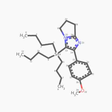 CCC[CH2][Sn]([CH2]CCC)([CH2]CCC)[c]1c(-c2ccc(OC)cc2)nc2n1CCC2